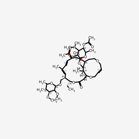 CC[C@H]1OC(=O)C[C@H]2OC/C=C/COCC[C@@H](C[C@@H](C)C(=O)/C=C/C(C)=C/[C@@H]1CO[C@@H]1OC(C)[C@@H](C)[C@H](OC)C1OC)[C@H](O[C@@H]1OC(C)[C@@H](OC(C)=O)C(N(C)C)C1OC(C)=O)[C@H]2C